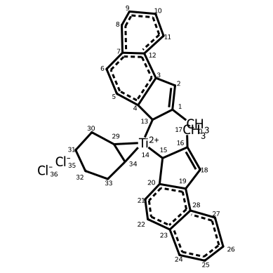 CC1=Cc2c(ccc3ccccc23)[CH]1[Ti+2]1([CH]2C(C)=Cc3c2ccc2ccccc32)[CH]2CCCC[CH]21.[Cl-].[Cl-]